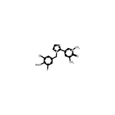 COc1c(F)cc(Cn2ccnc2-c2cc(C)c(=O)n(C)c2)cc1Cl